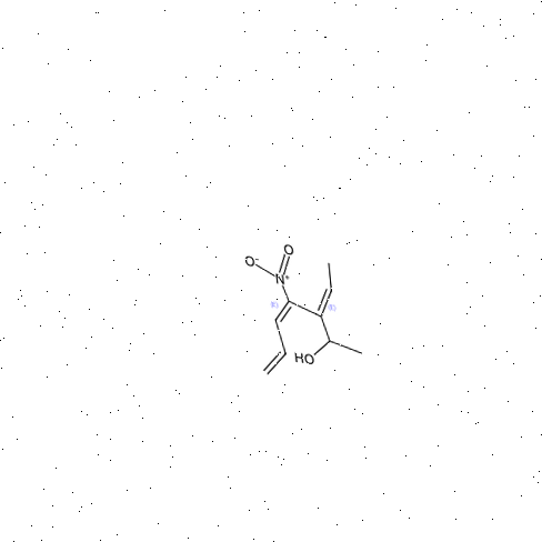 C=C/C=C(\C(=C/C)C(C)O)[N+](=O)[O-]